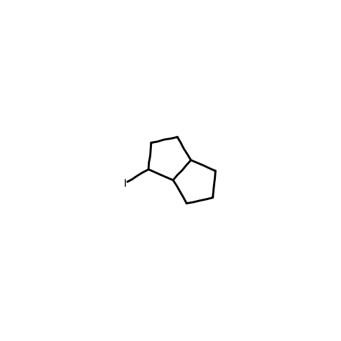 IC1CCC2CCCC12